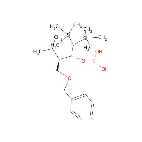 CC(C)[C@H](COCc1ccccc1)[C@@H](OB(O)O)N([Si](C)(C)C)[Si](C)(C)C